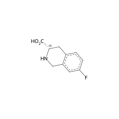 O=C(O)[C@@H]1Cc2ccc(F)cc2CN1